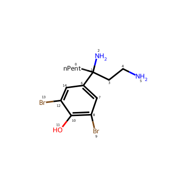 CCCCCC(N)(CCN)c1cc(Br)c(O)c(Br)c1